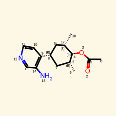 CC(=O)O[C@H]1[C@H](C)C[C@H](c2ccncc2N)C[C@@H]1C